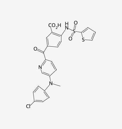 CN(c1ccc(Cl)cc1)c1ccc(C(=O)c2ccc(NS(=O)(=O)c3cccs3)c(C(=O)O)c2)nc1